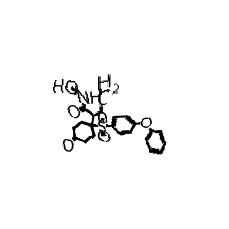 C=CC(C(=O)NO)C1(S(=O)(=O)c2ccc(Oc3ccccc3)cc2)CCC(=O)CC1